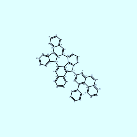 c1ccc(-c2nc(-n3c4cccc5c6cc7ccccc7c7c8ccccc8n(c8cc9ccccc9c3c8c54)c67)nc3ccc4ccccc4c23)cc1